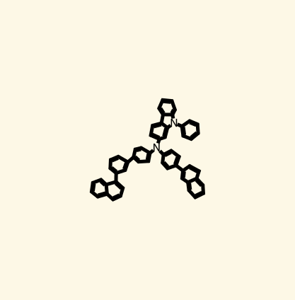 c1ccc(-n2c3ccccc3c3ccc(N(c4ccc(-c5cccc(-c6cccc7ccccc67)c5)cc4)c4ccc(-c5ccc6ccccc6c5)cc4)cc32)cc1